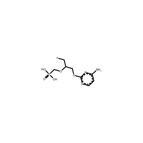 Nc1ccnc(OCC(CF)OCP(=O)(O)O)n1